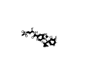 C[C@H](/C=C/S(C)(=O)=O)NC(=O)c1cc2ncn([C@@H](c3cccc(F)c3Cl)C3(F)CC3)c2cn1